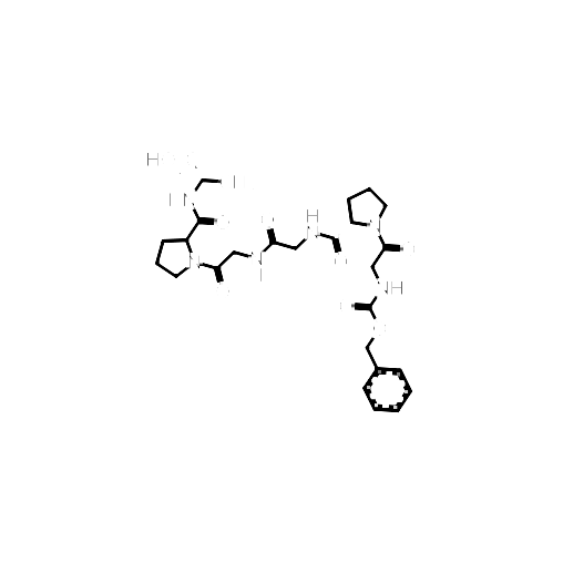 C[C@H](NC(=O)C1CCCN1C(=O)CNC(=O)CNC(=O)[C@@H]1CCCN1C(=O)CNC(=O)OCc1ccccc1)C(=O)O